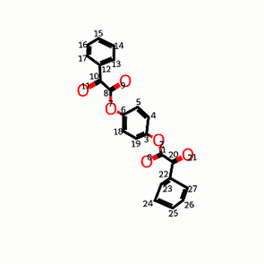 O=C(Oc1ccc(OC(=O)C(=O)c2ccccc2)cc1)C(=O)c1ccccc1